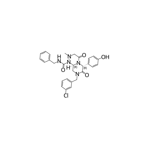 CN1CC(=O)N2[C@@H](CN(Cc3cccc(Cl)c3)C(=O)[C@H]2c2ccc(O)cc2)N1C(=O)NCc1ccccc1